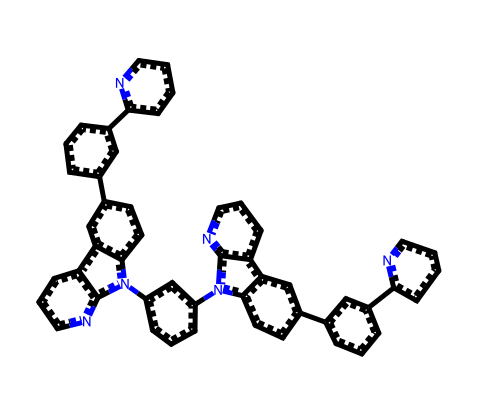 c1ccc(-c2cccc(-c3ccc4c(c3)c3cccnc3n4-c3cccc(-n4c5ccc(-c6cccc(-c7ccccn7)c6)cc5c5cccnc54)c3)c2)nc1